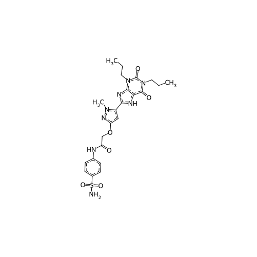 CCCn1c(=O)c2[nH]c(-c3cc(OCC(=O)Nc4ccc(S(N)(=O)=O)cc4)nn3C)nc2n(CCC)c1=O